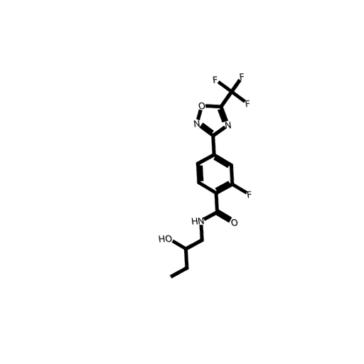 CCC(O)CNC(=O)c1ccc(-c2noc(C(F)(F)F)n2)cc1F